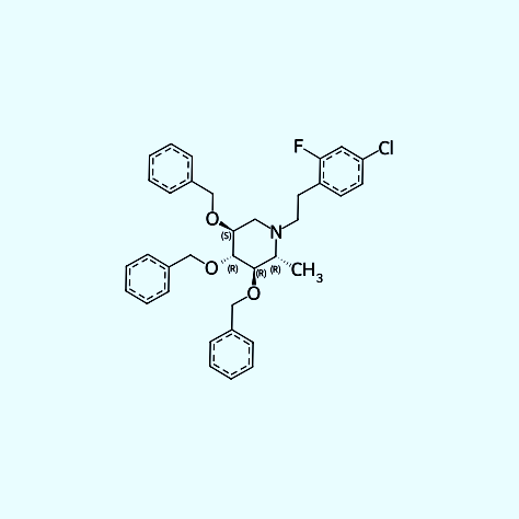 C[C@@H]1[C@@H](OCc2ccccc2)[C@H](OCc2ccccc2)[C@@H](OCc2ccccc2)CN1CCc1ccc(Cl)cc1F